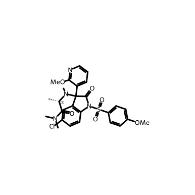 COc1ccc(S(=O)(=O)N2C(=O)C(c3cccnc3OC)(N(C)[C@@H](C)C(=O)N(C)C)c3cc(Cl)ccc32)cc1